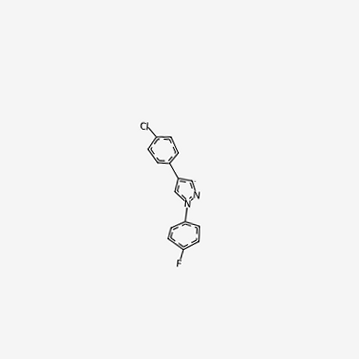 Fc1ccc(-n2cc(-c3ccc(Cl)cc3)[c]n2)cc1